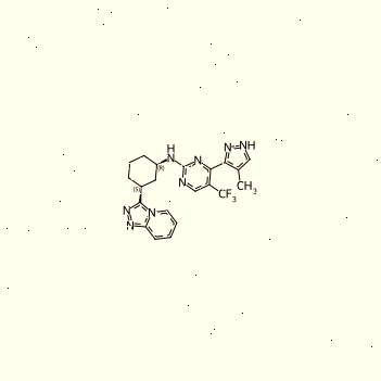 Cc1c[nH]nc1-c1nc(N[C@@H]2CCC[C@H](c3nnc4ccccn34)C2)ncc1C(F)(F)F